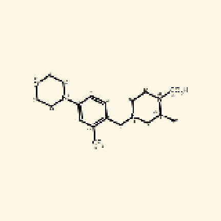 C[C@H]1CN(Cc2ccc(N3CCOCC3)cc2C(F)(F)F)CCN1C(=O)O